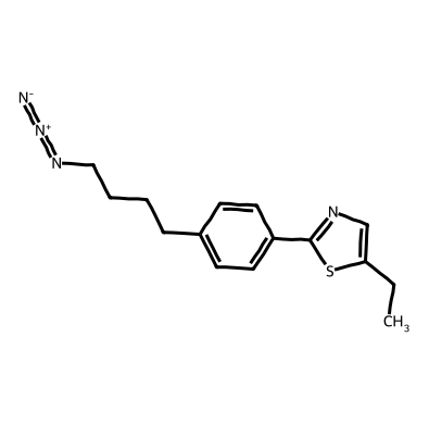 CCc1cnc(-c2ccc(CCCCN=[N+]=[N-])cc2)s1